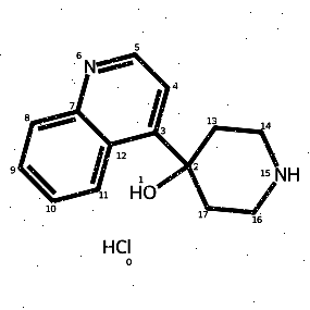 Cl.OC1(c2ccnc3ccccc23)CCNCC1